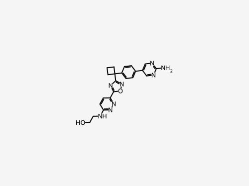 Nc1ncc(-c2ccc(C3(c4noc(-c5ccc(NCCO)nn5)n4)CCC3)cc2)cn1